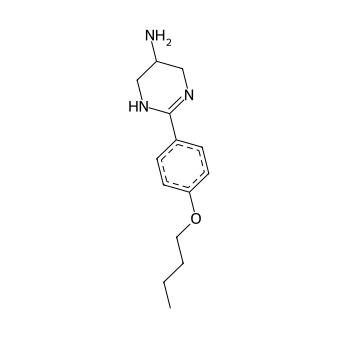 CCCCOc1ccc(C2=NCC(N)CN2)cc1